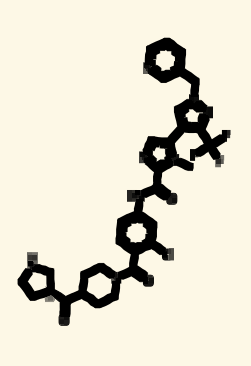 Cn1c(-c2cn(Cc3cccnc3)nc2C(F)(F)F)cnc1C(=O)Nc1ccc(C(=O)N2CCC(C(=O)[C@H]3CCNC3)CC2)c(Cl)c1